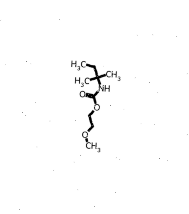 CCC(C)(C)NC(=O)OCCOC